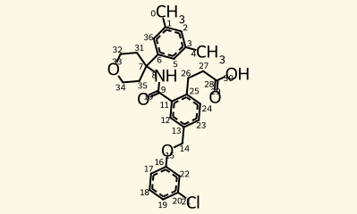 Cc1cc(C)cc(C2(NC(=O)c3cc(COc4cccc(Cl)c4)ccc3CCC(=O)O)CCOCC2)c1